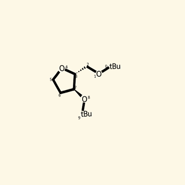 CC(C)(C)OC[C@H]1OCC[C@@H]1OC(C)(C)C